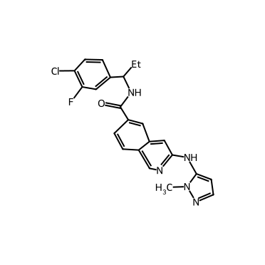 CCC(NC(=O)c1ccc2cnc(Nc3ccnn3C)cc2c1)c1ccc(Cl)c(F)c1